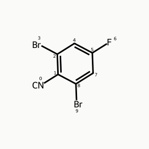 [C-]#[N+]c1c(Br)cc(F)cc1Br